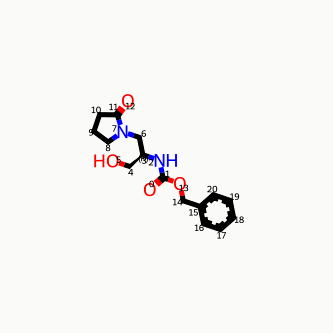 O=C(N[C@@H](CO)CN1CCCC1=O)OCc1ccccc1